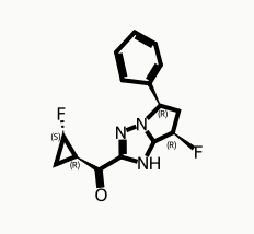 O=C(C1=NN2C(N1)[C@H](F)C[C@@H]2c1ccccc1)[C@H]1C[C@@H]1F